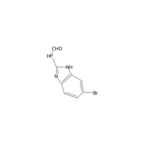 O=CPc1nc2ccc(Br)cc2[nH]1